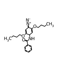 CCCCOC1=CC(NC(=O)c2ccccc2)C(OCCCC)=CC1=[N+]=[N-]